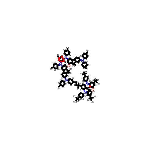 Cc1ccc(N(c2ccc(C)cc2)c2ccc3c(c2)C(C)(C)c2c-3cc3c4c2Oc2c5c(cc6c2[Si]4(c2ccccc2)c2c(cc(C)cc2N6c2ccc(C)cc2)N3c2ccc(C)cc2)-c2ccc(N(c3ccc(C)cc3)c3ccc(CCC(C)(C)c4cc6c7c(c4)N(c4ccc(C(C)(C)C)cc4)c4cc(C(C)(C)C)cc8c4[Si]7(C)c4c(cc(C(C)(C)C)cc4N6c4ccc(C(C)(C)C)cc4)O8)cc3)cc2C5(C)C)cc1